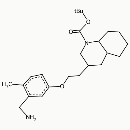 Cc1ccc(OCCC2CC3CCCCC3N(C(=O)OC(C)(C)C)C2)cc1CN